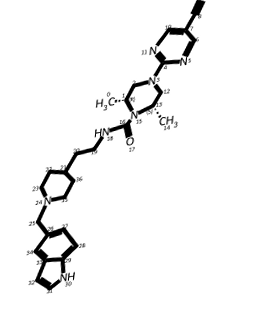 C[C@@H]1CN(c2ncc(C#N)cn2)C[C@H](C)N1C(=O)NCCC1CCN(Cc2ccc3[nH]ccc3c2)CC1